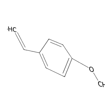 [CH]=Cc1ccc(OC)cc1